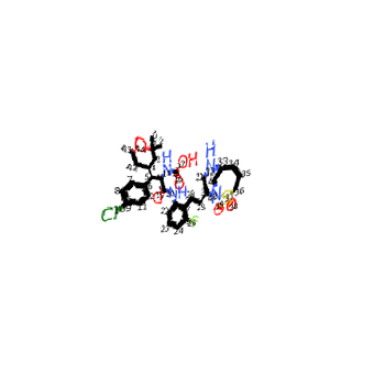 CC1(C)C[C@@H](C(c2ccc(Cl)cc2)C(NC(=O)O)C(=O)Nc2cccc(F)c2CC[C@H]2CNC3CCCS(=O)(=O)N2C3)CCO1